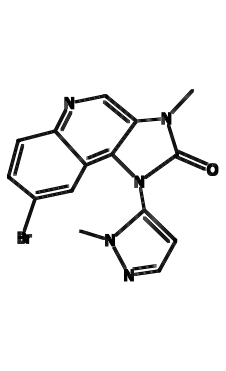 Cn1nccc1-n1c(=O)n(C)c2cnc3ccc(Br)cc3c21